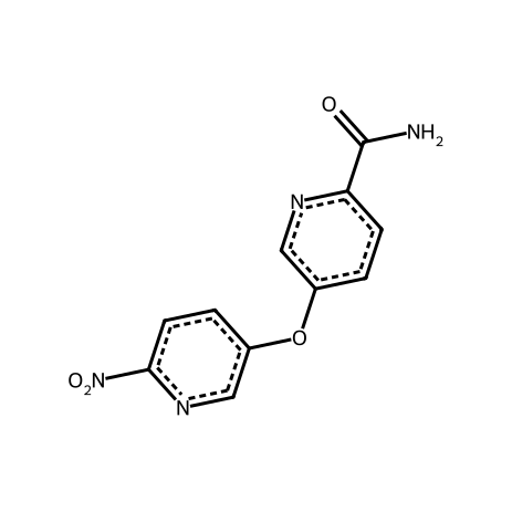 NC(=O)c1ccc(Oc2ccc([N+](=O)[O-])nc2)cn1